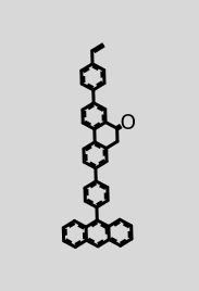 C=Cc1ccc(-c2ccc3c(c2)C(=O)Cc2cc(-c4ccc(-c5c6ccccc6cc6ccccc56)cc4)ccc2-3)cc1